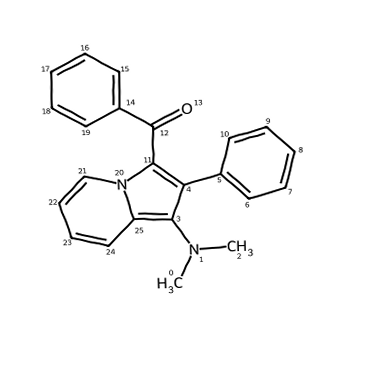 CN(C)c1c(-c2ccccc2)c(C(=O)c2ccccc2)n2ccccc12